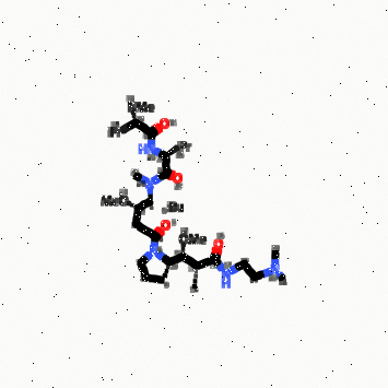 CC[C@H](C)[C@@H]([C@H](CC(=O)N1CCC[C@H]1[C@H](OC)[C@@H](C)C(=O)NCCN(C)C)OC)N(C)C(=O)[C@@H](NC(=O)[C@@H](NC)C(C)C)C(C)C